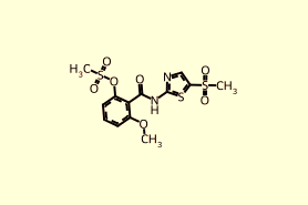 COc1cccc(OS(C)(=O)=O)c1C(=O)Nc1ncc(S(C)(=O)=O)s1